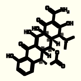 CC(=O)O[C@@H]1[C@H]2C(=C(O)[C@]3(O)C(=O)C(C(N)=O)=C(O)[C@@H](N(C)C)[C@@H]13)C(=O)c1c(O)cccc1[C@H]2C